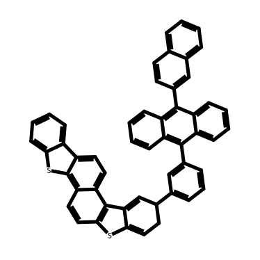 C1=c2sc3ccc4c(ccc5c6ccccc6sc54)c3c2=CC(c2cccc(-c3c4ccccc4c(-c4ccc5ccccc5c4)c4ccccc34)c2)C1